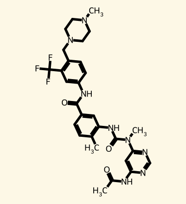 CC(=O)Nc1cc(N(C)C(=O)Nc2cc(C(=O)Nc3ccc(CN4CCN(C)CC4)c(C(F)(F)F)c3)ccc2C)ncn1